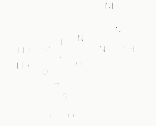 CC(=O)SC[C@H]1O[C@@H](n2ccc3c(N)nc(C)nc32)[C@@H]2OC(C)(C)O[C@@H]21